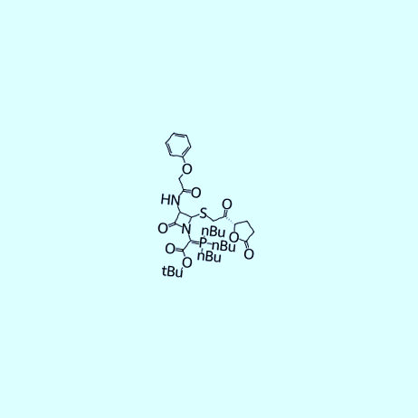 CCCCP(CCCC)(CCCC)=C(C(=O)OC(C)(C)C)N1C(=O)C(NC(=O)COc2ccccc2)C1SCC(=O)[C@@H]1CCC(=O)O1